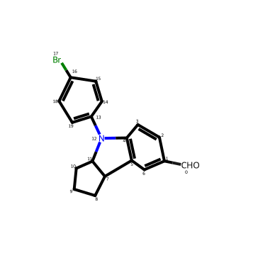 O=Cc1ccc2c(c1)C1CCCC1N2c1ccc(Br)cc1